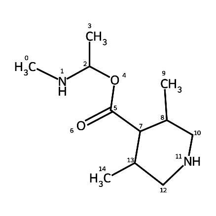 CNC(C)OC(=O)C1C(C)CNCC1C